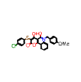 COc1ccc(Cn2c(=O)c3c(O)c(Sc4ccc(Cl)cc4)c(=O)oc3c3ccccc32)cc1